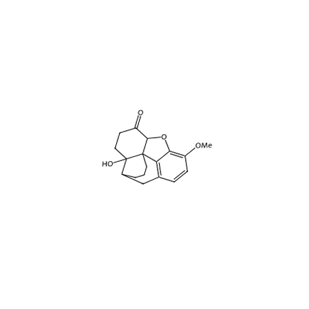 COc1ccc2c3c1OC1C(=O)CCC4(O)C(CCCC314)C2